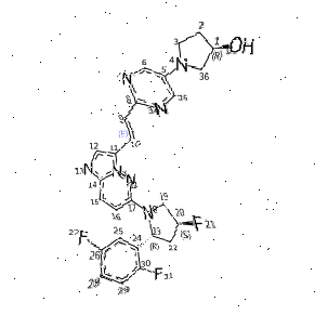 O[C@@H]1CCN(c2cnc(/C=C/c3cnc4ccc(N5C[C@@H](F)C[C@@H]5c5cc(F)ccc5F)nn34)nc2)C1